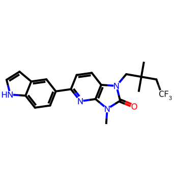 Cn1c(=O)n(CC(C)(C)CC(F)(F)F)c2ccc(-c3ccc4[nH]ccc4c3)nc21